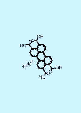 O=C(O)c1ccc2c3ccc(C(=O)O)c4c(C(=O)O)ccc(c5ccc(C(=O)O)c1c25)c43.[K].[K].[K].[K]